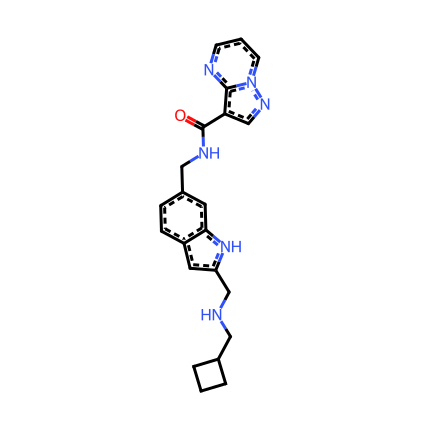 O=C(NCc1ccc2cc(CNCC3CCC3)[nH]c2c1)c1cnn2cccnc12